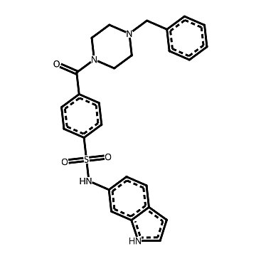 O=C(c1ccc(S(=O)(=O)Nc2ccc3cc[nH]c3c2)cc1)N1CCN(Cc2ccccc2)CC1